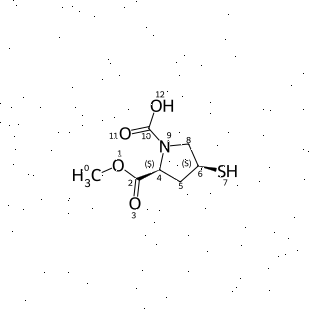 COC(=O)[C@@H]1C[C@H](S)CN1C(=O)O